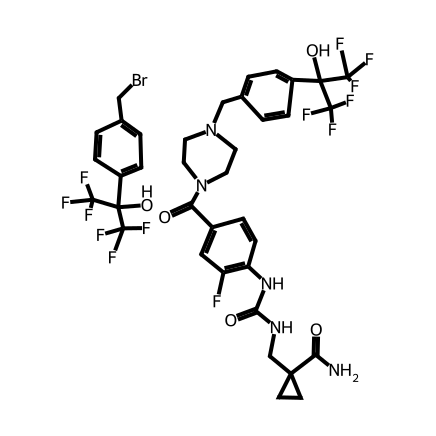 NC(=O)C1(CNC(=O)Nc2ccc(C(=O)N3CCN(Cc4ccc(C(O)(C(F)(F)F)C(F)(F)F)cc4)CC3)cc2F)CC1.OC(c1ccc(CBr)cc1)(C(F)(F)F)C(F)(F)F